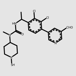 CC(NC(=O)N(C)C1CCN(S)CC1)c1ccc(-c2cncc(C=O)c2)c(Cl)c1Cl